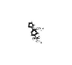 CS(=O)(=O)c1ccc(N2CCCC2)c(C(=O)O)c1